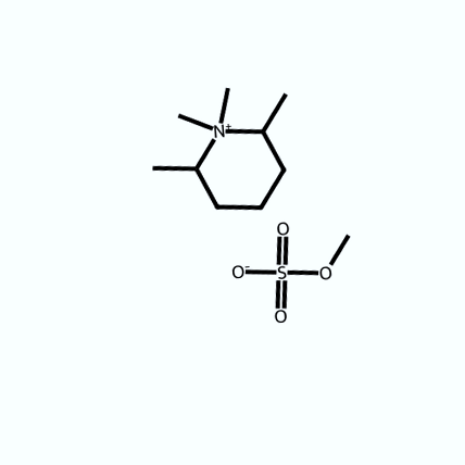 CC1CCCC(C)[N+]1(C)C.COS(=O)(=O)[O-]